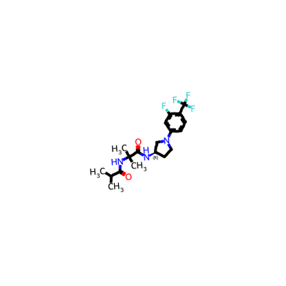 CC(C)C(=O)NC(C)(C)C(=O)N[C@@H]1CCN(c2ccc(C(F)(F)F)c(F)c2)C1